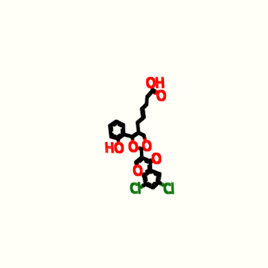 O=C(O)CCC=CCC1COC(c2coc3c(Cl)cc(Cl)cc3c2=O)OC1c1ccccc1O